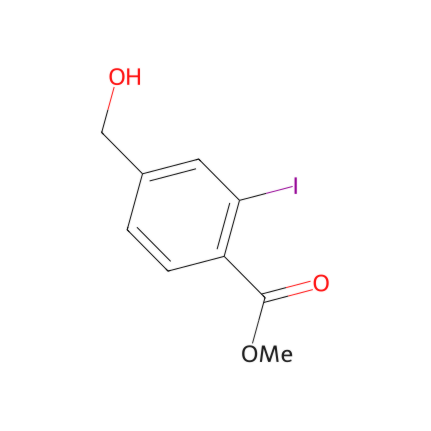 COC(=O)c1ccc(CO)cc1I